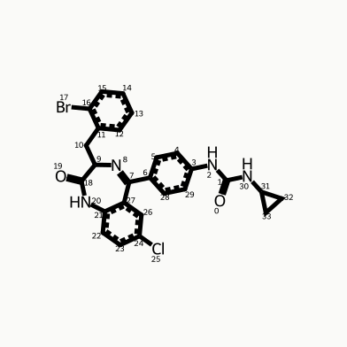 O=C(Nc1ccc(C2=NC(Cc3ccccc3Br)C(=O)Nc3ccc(Cl)cc32)cc1)NC1CC1